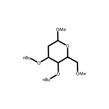 CCCCOC1CC(OC)OC(COC)C1OCCCC